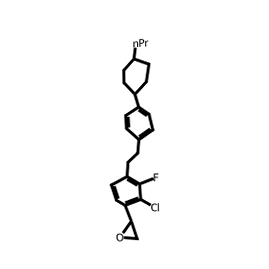 CCCC1CCC(c2ccc(CCc3ccc(C4CO4)c(Cl)c3F)cc2)CC1